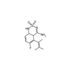 CC(C)=C(C)C1=C(F)C=CC2NS(=O)(=O)N=C(N)C12